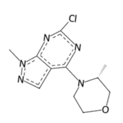 C[C@@H]1COCCN1c1nc(Cl)nc2c1cnn2C